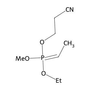 CC=P(OC)(OCC)OCCC#N